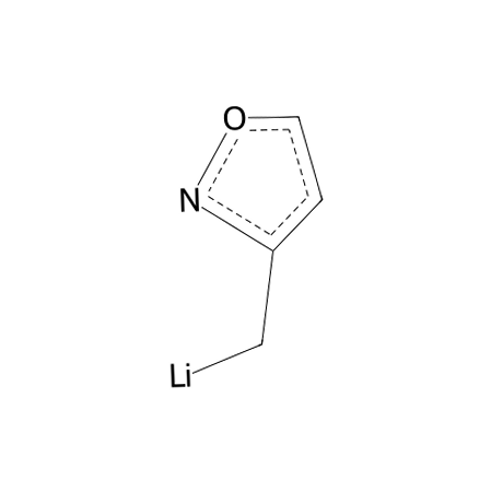 [Li][CH2]c1ccon1